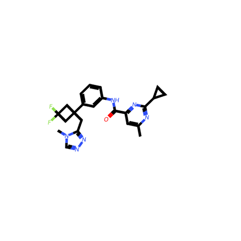 Cc1cc(C(=O)Nc2cccc(C3(Cc4nncn4C)CC(F)(F)C3)c2)nc(C2CC2)n1